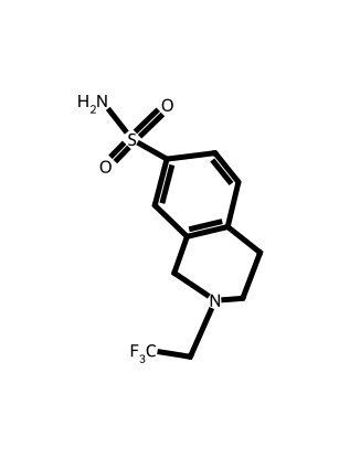 NS(=O)(=O)c1ccc2c(c1)CN(CC(F)(F)F)CC2